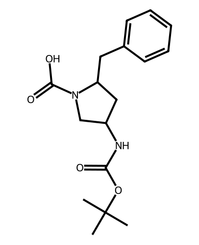 CC(C)(C)OC(=O)NC1CC(Cc2ccccc2)N(C(=O)O)C1